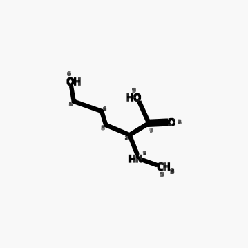 CNC(CCCO)C(=O)O